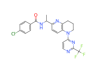 CC(NC(=O)c1ccc(Cl)cc1)c1ccc2c(n1)CCCN2c1ccnc(C(F)(F)F)n1